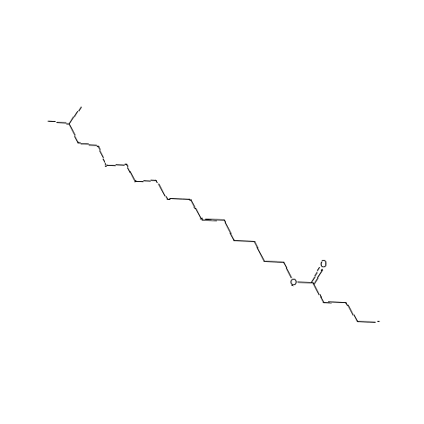 CCCCC(=O)OCCCCCCCCCCCCCCC(C)C